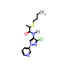 CCN(C(=O)C(C)SCCCC(F)(F)F)c1cn(-c2cccnc2)nc1Cl